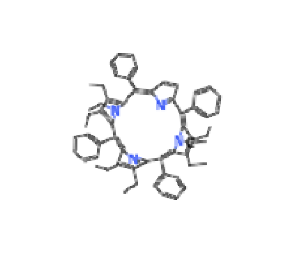 CCC1=C(CC)c2nc1c(-c1ccccc1)c1c(CC)c(CC)c(c(-c3ccccc3)c3nc(c(-c4ccccc4)c4c(CC)c(CC)c(c2-c2ccccc2)n4CC)C=C3)n1CC